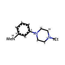 CCN1CCN(c2cccc(NC)c2)CC1